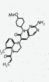 C=CC(=O)N1CCN(c2cc3cnc(N)nc3n(C3CCC(OC)CC3)c2=O)c2cccc(C)c21